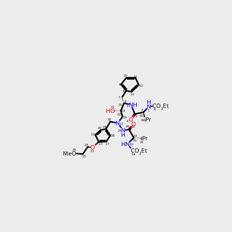 CCOC(=O)N[C@H](C(=O)N[C@@H](Cc1ccccc1)[C@@H](O)CN(Cc1ccc(OCCOC)cc1)NC(=O)[C@@H](NC(=O)OCC)C(C)C)C(C)C